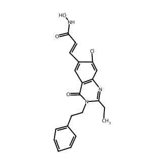 CCc1nc2cc(Cl)c(/C=C/C(=O)NO)cc2c(=O)n1CCc1ccccc1